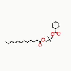 CCCCCCCCCCCC(=O)OCC(C)(C)COC(=O)C1CCCCC1